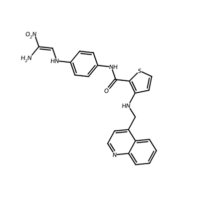 NC(=CNc1ccc(NC(=O)c2sccc2NCc2ccnc3ccccc23)cc1)[N+](=O)[O-]